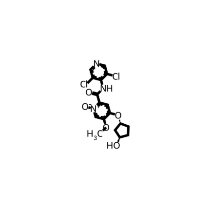 COc1c[n+]([O-])c(C(=O)Nc2c(Cl)cncc2Cl)cc1O[C@@H]1CC[C@@H](O)C1